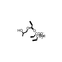 C=CC(=O)O.C=CC(=O)OCC(C)O.C=CC(=O)[O-].[Na+]